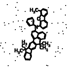 Cc1cccc2c1oc1c(N(c3ccccc3)c3ccc4c5c(cccc35)C(C)(C)c3cc5c(cc3-4)C(C)(C)c3ccccc3-5)cccc12